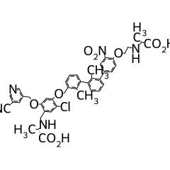 Cc1c(COc2cc(OCc3cncc(C#N)c3)c(CN[C@@H](C)C(=O)O)cc2Cl)cccc1-c1cccc(-c2ccc(OCCN[C@@H](C)C(=O)O)c([N+](=O)[O-])c2)c1C